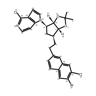 CC1(C)O[C@@H]2[C@@H](CCc3ccc4cc(Br)c(Cl)cc4c3)C[C@@H](n3ccc4c(Cl)nccc43)[C@@H]2O1